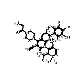 C=CC(=O)N1CCN(c2c(C#N)c(=O)n(C3=C(C)C=CN(C)C3C(C)C)c3nc(-c4c(F)c(O)c(F)c(F)c4Cl)c(Cl)cc23)CC1